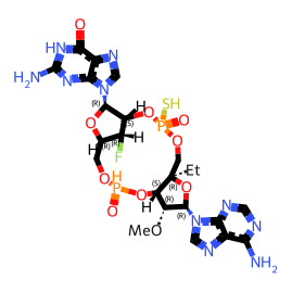 CC[C@@]12COP(=O)(S)O[C@@H]3[C@H](F)[C@@H](CO[PH](=O)O[C@H]1[C@@H](OC)[C@H](n1cnc4c(N)ncnc41)O2)O[C@H]3n1cnc2c(=O)[nH]c(N)nc21